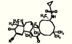 CC1(C)CCC2C(=O)C=C3[C@@]4(C)C=C(C#N)C(=O)C(C)(C)[C@@H]4CC[C@@]3(C)[C@]2(C)CC[C@@](C)(NS(=O)(=O)C2CC2)CC1